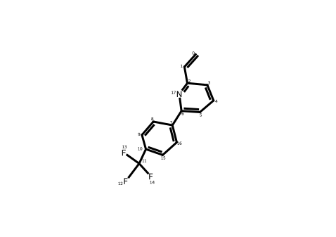 C=Cc1cccc(-c2ccc(C(F)(F)F)cc2)n1